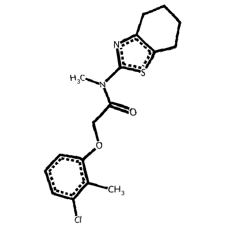 Cc1c(Cl)cccc1OCC(=O)N(C)c1nc2c(s1)CCCC2